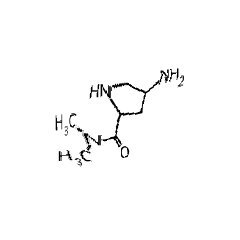 CN(C)C(=O)C1CC(N)CN1